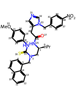 CCC[C@@H](CN(Cc1cccc2ccccc12)C(=S)Nc1ccc(OC)cc1)NC(=O)Cc1cncn1Cc1ccc([N+](=O)[O-])cc1